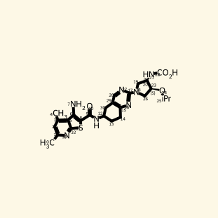 Cc1cc(C)c2c(N)c(C(=O)NC3CCc4nc(N5C[C@H](NC(=O)O)[C@@H](OC(C)C)C5)ncc4C3)sc2n1